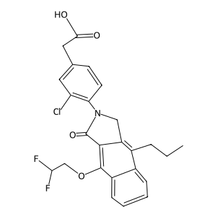 CCCc1c2c(c(OCC(F)F)c3ccccc13)C(=O)N(c1ccc(CC(=O)O)cc1Cl)C2